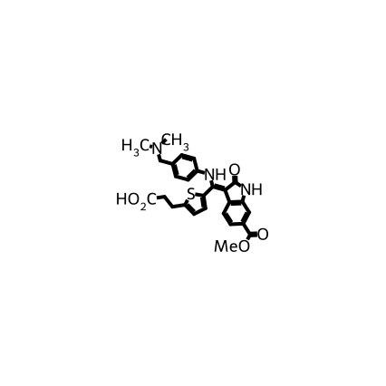 COC(=O)c1ccc2c(c1)NC(=O)/C2=C(\Nc1ccc(CN(C)C)cc1)c1ccc(CCC(=O)O)s1